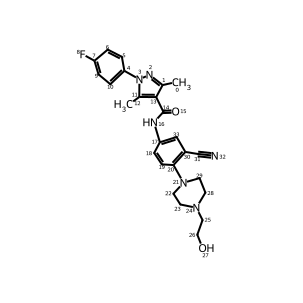 Cc1nn(-c2ccc(F)cc2)c(C)c1C(=O)Nc1ccc(N2CCN(CCO)CC2)c(C#N)c1